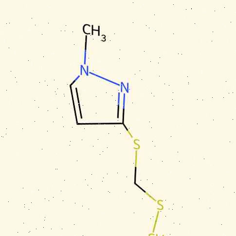 Cn1ccc(SCSS)n1